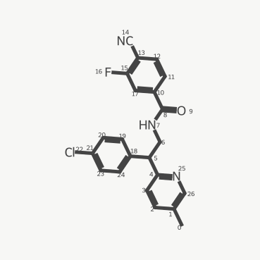 Cc1ccc(C(CNC(=O)c2ccc(C#N)c(F)c2)c2ccc(Cl)cc2)nc1